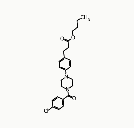 CCCCOC(=O)CCc1ccc(N2CCN(C(=O)c3ccc(Cl)cc3)CC2)cc1